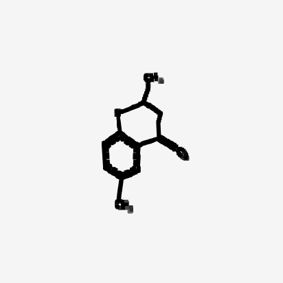 Cc1ccc2c(c1)C(=O)CC(C)S2